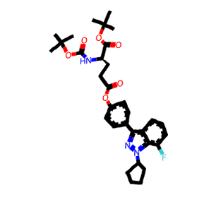 CC(C)(C)OC(=O)N[C@H](CCC(=O)Oc1ccc(-c2nn(C3CCCC3)c3c(F)cccc23)cc1)C(=O)OC(C)(C)C